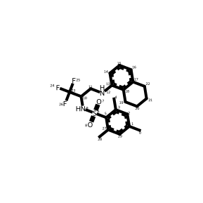 Cc1cc(C)c(S(=O)(=O)NC(CNc2cccc3c2CCCC3)C(F)(F)F)c(C)c1